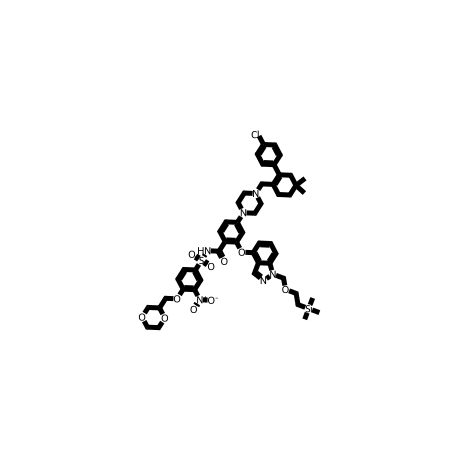 CC1(C)CCC(CN2CCN(c3ccc(C(=O)NS(=O)(=O)c4ccc(OCC5COCCO5)c([N+](=O)[O-])c4)c(Oc4cccc5c4cnn5COCC[Si](C)(C)C)c3)CC2)=C(c2ccc(Cl)cc2)C1